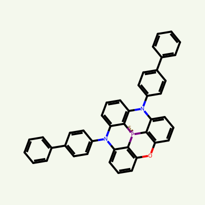 S=P12c3c4cccc3N(c3ccc(-c5ccccc5)cc3)c3cccc(c31)N(c1ccc(-c3ccccc3)cc1)c1cccc(c12)O4